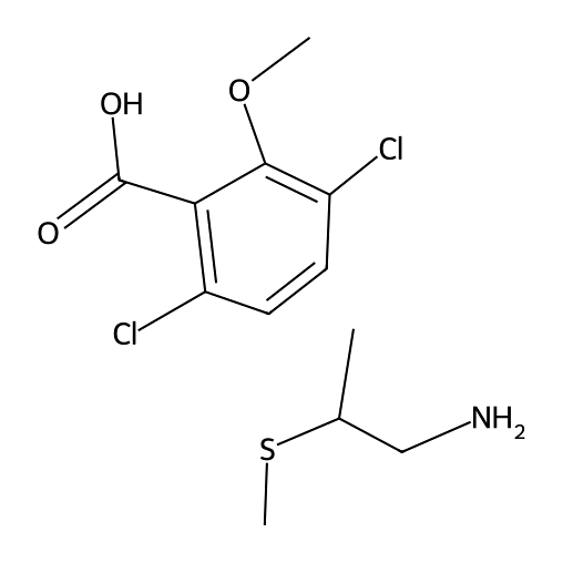 COc1c(Cl)ccc(Cl)c1C(=O)O.CSC(C)CN